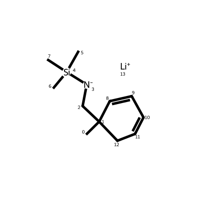 CC1(C[N-][Si](C)(C)C)C=CC=CC1.[Li+]